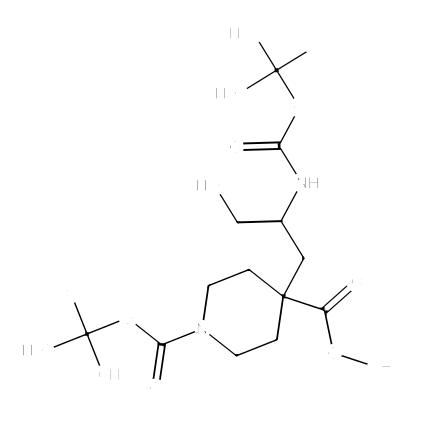 COC(=O)C1(CC(CO)NC(=O)OC(C)(C)C)CCN(C(=O)OC(C)(C)C)CC1